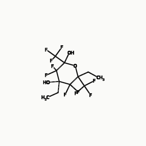 CCC1(O)C(F)(F)C(O)(C(F)(F)F)OC(CC)(C(F)(F)F)C1(F)F